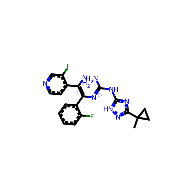 CC1(c2n[nH]c(N/C(N)=N/C(=C(\N)c3ccncc3F)c3ccccc3F)n2)CC1